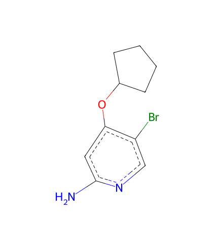 Nc1cc(OC2CCCC2)c(Br)cn1